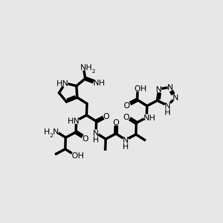 CC(NC(=O)C(C)NC(=O)C(CC1=CCNC1C(=N)N)NC(=O)C(N)C(C)O)C(=O)NC(C(=O)O)c1nnn[nH]1